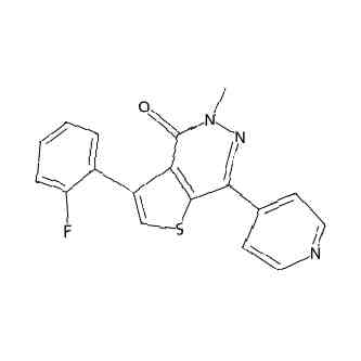 Cn1nc(-c2ccncc2)c2scc(-c3ccccc3F)c2c1=O